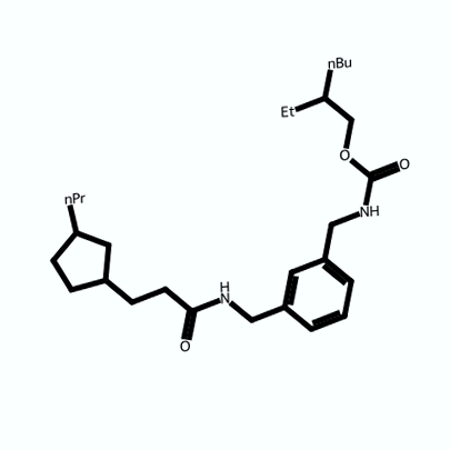 CCCCC(CC)COC(=O)NCc1cccc(CNC(=O)CCC2CCC(CCC)C2)c1